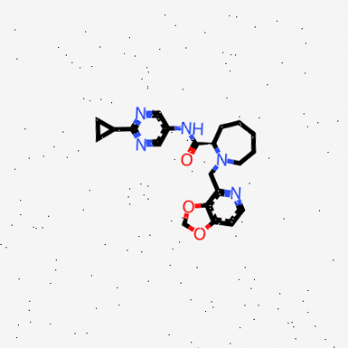 O=C(Nc1cnc(C2CC2)nc1)[C@H]1CCCCCN1Cc1nccc2c1OCO2